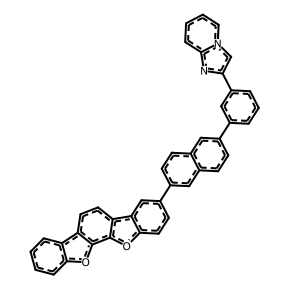 c1cc(-c2ccc3cc(-c4ccc5oc6c(ccc7c8ccccc8oc76)c5c4)ccc3c2)cc(-c2cn3ccccc3n2)c1